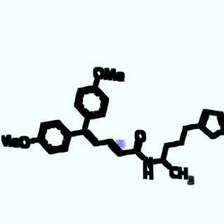 COc1ccc(C(=C/C=C/C(=O)NC(C)CCCC2=CC=NC2)c2ccc(OC)cc2)cc1